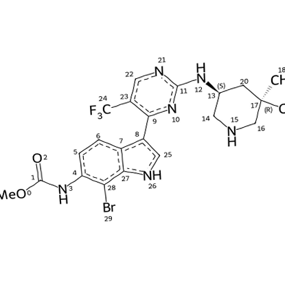 COC(=O)Nc1ccc2c(-c3nc(N[C@@H]4CNC[C@](C)(O)C4)ncc3C(F)(F)F)c[nH]c2c1Br